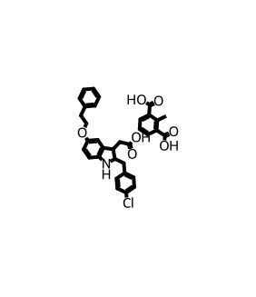 Cc1c(C(=O)O)cccc1C(=O)O.O=C(O)CC1c2cc(OCCc3ccccc3)ccc2NC1Cc1ccc(Cl)cc1